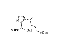 CCCCCCCCCCCCCC(C)n1ccnc1C(CCCCCC)CCCCCCCC